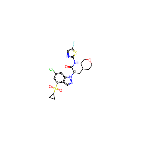 O=C(Nc1ncc(F)s1)[C@@H](CC1CCOCC1)n1ncc2c(S(=O)(=O)C3CC3)cc(Cl)cc21